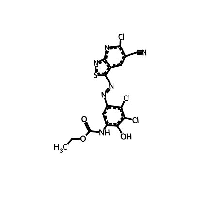 CCOC(=O)Nc1cc(/N=N/c2snc3nc(Cl)c(C#N)cc23)c(Cl)c(Cl)c1O